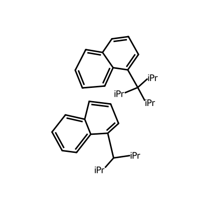 CC(C)C(c1cccc2ccccc12)(C(C)C)C(C)C.CC(C)C(c1cccc2ccccc12)C(C)C